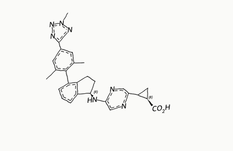 Cc1cc(-c2nnn(C)n2)cc(C)c1-c1cccc2c1CC[C@H]2Nc1cnc(C2C[C@H]2C(=O)O)cn1